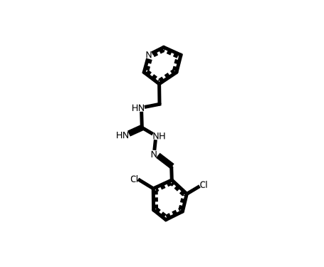 N=C(NCc1cccnc1)NN=Cc1c(Cl)cccc1Cl